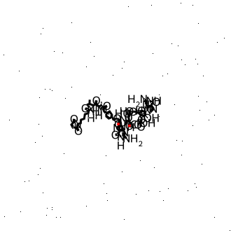 CC(C)[C@H](NC(=O)CCCCCN1C(=O)C=CC1=O)C(=O)N[C@@H](C)C(=O)Nc1ccc(COC(=O)N[C@H]2C3OP(=O)(O)OC[C@H]4O[C@@H](n5cnc6c(=O)[nH]c(N)nc65)[C@@H](O)C4OP(=O)(O)OC[C@H]3O[C@H]2n2cnc3c(=O)[nH]c(N)nc32)cc1